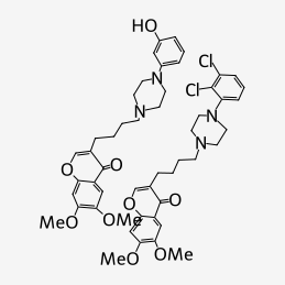 COc1cc2occ(CCCCN3CCN(c4cccc(Cl)c4Cl)CC3)c(=O)c2cc1OC.COc1cc2occ(CCCCN3CCN(c4cccc(O)c4)CC3)c(=O)c2cc1OC